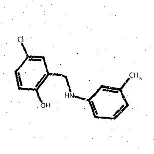 Cc1cccc(NCc2cc(Cl)ccc2O)c1